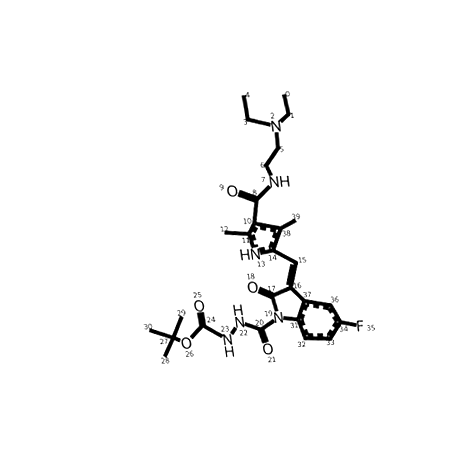 CCN(CC)CCNC(=O)c1c(C)[nH]c(/C=C2\C(=O)N(C(=O)NNC(=O)OC(C)(C)C)c3ccc(F)cc32)c1C